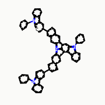 c1ccc(-n2c3ccccc3c3cc(-c4ccc5cc6c7cc8c(c9ccccc9n8-c8ccccc8)c8c9cc%10ccc(-c%11ccc%12c(c%11)c%11ccccc%11n%12-c%11ccccc%11)cc%10cc9n(c6cc5c4)c78)ccc32)cc1